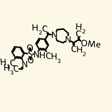 C=C(OC)C(=C)N1CCCN(C(=C)c2ccc(NS(=O)(=O)c3cccc(C)c3/N=C\C)c(C)c2)CC1